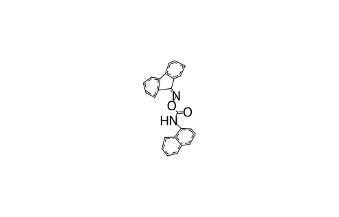 O=C(Nc1cccc2ccccc12)ON=C1c2ccccc2-c2ccccc21